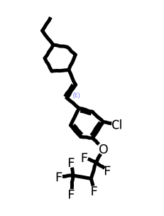 CCC1CCC(/C=C/c2ccc(OC(F)(F)C(F)C(F)(F)F)c(Cl)c2)CC1